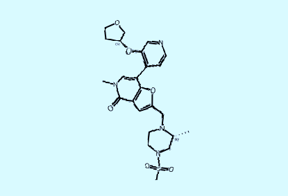 C[C@@H]1CN(S(C)(=O)=O)CCN1Cc1cc2c(=O)n(C)cc(-c3ccncc3O[C@H]3CCOC3)c2o1